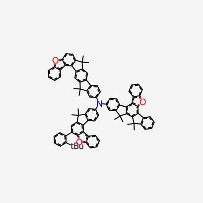 CC(C)(C)c1ccccc1-c1cc2c(c3c1oc1ccccc13)-c1ccc(N(c3ccc4c(c3)C(C)(C)c3cc5c(cc3-4)C(C)(C)c3ccc4oc6ccccc6c4c3-5)c3ccc4c(c3)C(C)(C)c3c5c(c6oc7ccccc7c6c3-4)-c3ccccc3C5(C)C)cc1C2(C)C